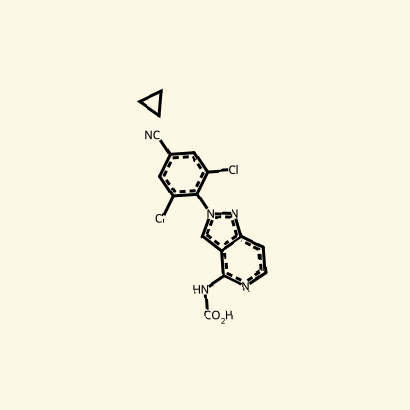 C1CC1.N#Cc1cc(Cl)c(-n2cc3c(NC(=O)O)nccc3n2)c(Cl)c1